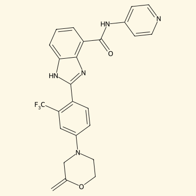 C=C1CN(c2ccc(-c3nc4c(C(=O)Nc5ccncc5)cccc4[nH]3)c(C(F)(F)F)c2)CCO1